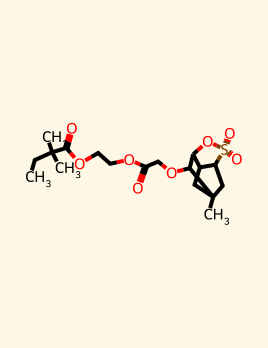 CCC(C)(C)C(=O)OCCOC(=O)COC1C2OS(=O)(=O)C3CC1(C)CC23